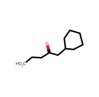 O=C(O)CCC(=O)CC1CCCCC1